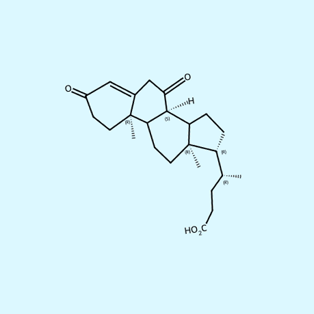 C[C@H](CCC(=O)O)[C@H]1CCC2[C@@H]3C(=O)CC4=CC(=O)CC[C@]4(C)C3CC[C@@]21C